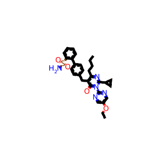 CCCCc1nc(C2CC2)n(-c2ncc(OCC)cn2)c(=O)c1Cc1ccc(-c2ccccc2S(N)(=O)=O)cc1